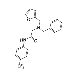 O=C(CN(Cc1ccccc1)Cc1ccco1)Nc1ccc(C(F)(F)F)cc1